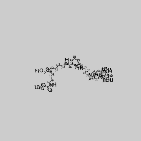 CC(C)(C)OC(=O)NCCCCN(CCCCNCc1cccc(CNCCCCN(CCCC(NC(=O)OC(C)(C)C)(C(C)(C)C)C(C)(C)C)C(=O)O)c1)C(=O)O